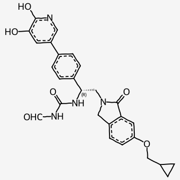 O=CNC(=O)N[C@@H](CN1Cc2ccc(OCC3CC3)cc2C1=O)c1ccc(-c2cnc(O)c(O)c2)cc1